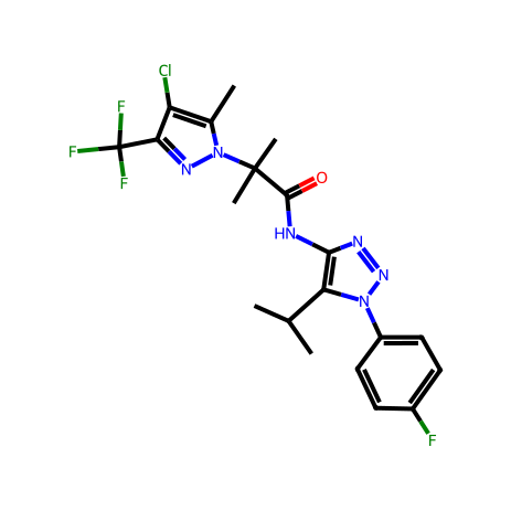 Cc1c(Cl)c(C(F)(F)F)nn1C(C)(C)C(=O)Nc1nnn(-c2ccc(F)cc2)c1C(C)C